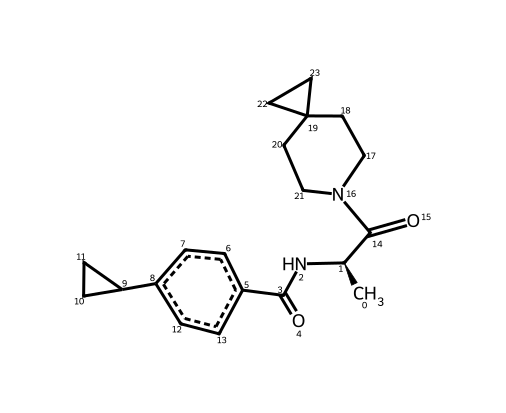 C[C@@H](NC(=O)c1ccc(C2CC2)cc1)C(=O)N1CCC2(CC1)CC2